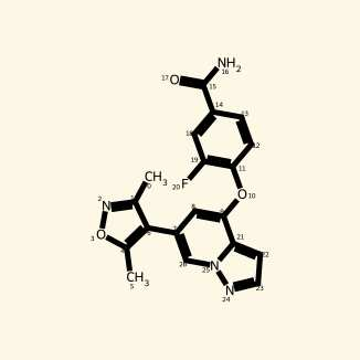 Cc1noc(C)c1-c1cc(Oc2ccc(C(N)=O)cc2F)c2ccnn2c1